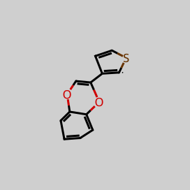 [c]1sccc1C1=COc2ccccc2O1